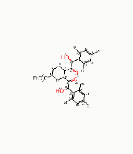 CCOC(=O)C1CCC(C(=O)C(O)c2c(C)cc(C)cc2C)C(C(=O)C(O)c2c(C)cc(C)cc2C)C1